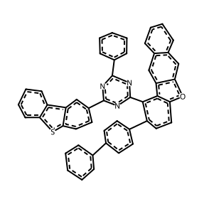 c1ccc(-c2ccc(-c3ccc4oc5cc6ccccc6cc5c4c3-c3nc(-c4ccccc4)nc(-c4ccc5sc6ccccc6c5c4)n3)cc2)cc1